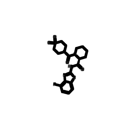 O=C(Nc1nc2c(F)cccc2s1)[C@@H]1CCCCN1C(=O)N1CCS(=O)(=O)CC1